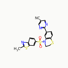 Cc1nc2ccc(S(=O)(=O)N3CCSc4ccc(-c5ncc(C#N)cn5)cc43)cc2s1